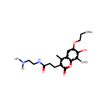 CCCN(CC)CCNC(=O)CCc1c(C)c2cc(OCCOC)c(O)c(C=O)c2oc1=O